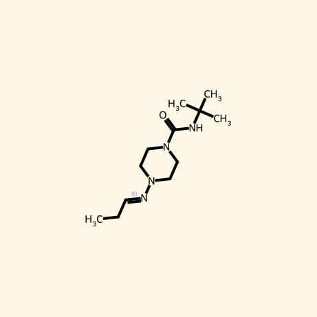 CC/C=N/N1CCN(C(=O)NC(C)(C)C)CC1